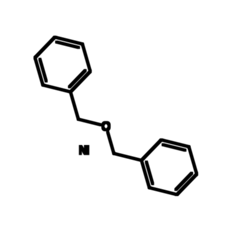 [Ni].c1ccc(COCc2ccccc2)cc1